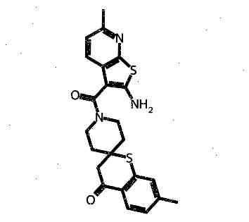 Cc1ccc2c(c1)SC1(CCN(C(=O)c3c(N)sc4nc(C)ccc34)CC1)CC2=O